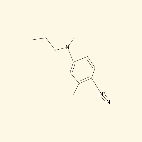 CCCN(C)c1ccc([N+]#N)c(C)c1